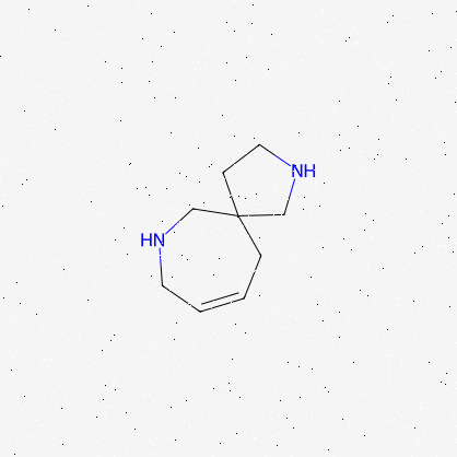 C1=CCC2(CCNC2)CNC1